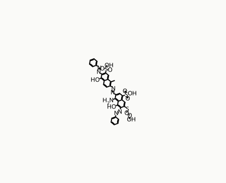 Cc1c(N=Nc2cc(S(=O)(=O)O)c3cc(SOOO)c(N=Nc4ccccc4)c(O)c3c2N)ccc2c(O)c(N=Nc3ccccc3)c(S(=O)(=O)O)cc12